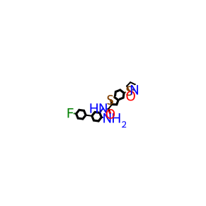 Nc1ccc(-c2ccc(F)cc2)cc1NC(=O)c1cc2cc(S3(=O)=NCCC3)ccc2s1